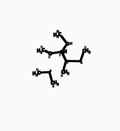 CCC.CCC(C)[SiH](OC)OC